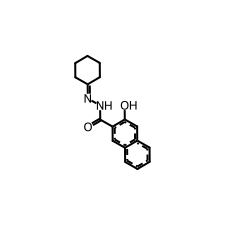 O=C(NN=C1CCCCC1)c1cc2ccccc2cc1O